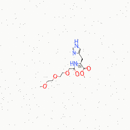 COCCOCCOCC(=O)N[C@@H](Cc1c[nH]cn1)C(=O)OC